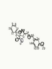 COC(=O)C1(Cc2ccccc2)CC(COCc2cccc(OC)c2)=NO1